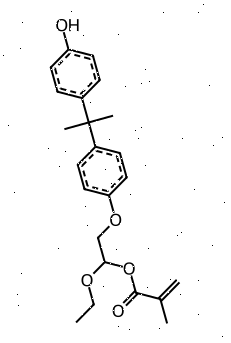 C=C(C)C(=O)OC(COc1ccc(C(C)(C)c2ccc(O)cc2)cc1)OCC